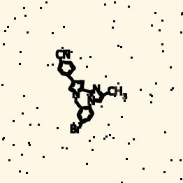 Cc1cn2c(n1)-c1cc(-c3ccc(C#N)cc3)cn1Cc1cc(Br)ccc1-2